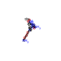 CC(C)(C)OC(=O)N[C@H]1CCCC[C@H]1Nc1nnc(C(N)=O)c(Nc2cccc3c2ccn3CCOCCOCCOCCN)n1